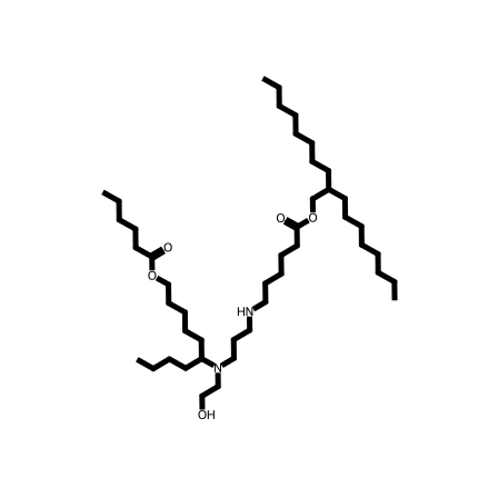 CCCCCCCCC(CCCCCCCC)COC(=O)CCCCCNCCCN(CCO)C(CCCC)CCCCCOC(=O)CCCCC